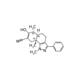 C[C@H]1C(O)=C(C#N)C[C@@]2(C)c3c(c(-c4ccccc4)nn3C)CC[C@H]12